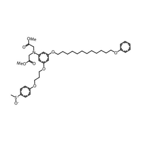 COC(=O)CN(CC(=O)OC)c1cc(OCCCCCCCCCCCCOc2ccccc2)cc(OCCCOc2ccc([S+](C)[O-])cc2)c1